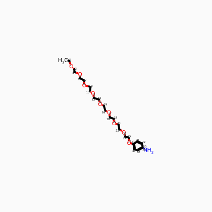 CCOCCOCCOCCOCCOCCOCCOCCOCCOc1ccc(N)cc1